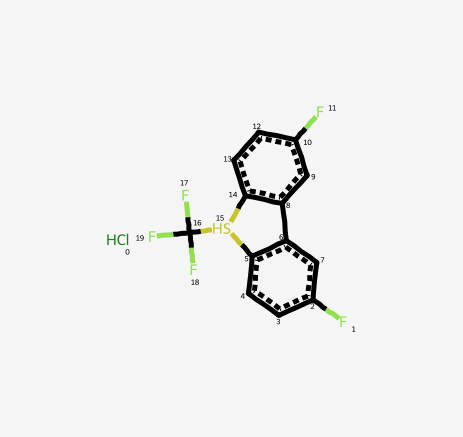 Cl.Fc1ccc2c(c1)-c1cc(F)ccc1[SH]2C(F)(F)F